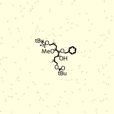 CO[C@@H](C[C@@H](C)CO[Si](C)(C)C(C)(C)C)[C@H](OCc1ccccc1)[C@@H](O)C[C@@H](C)COC(=O)C(C)(C)C